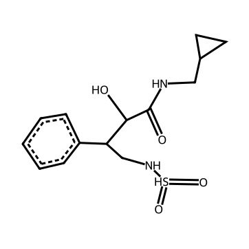 O=C(NCC1CC1)C(O)C(CN[SH](=O)=O)c1ccccc1